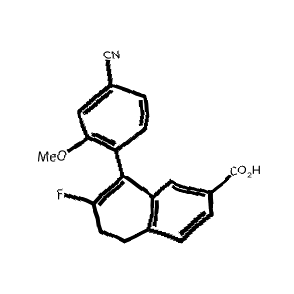 COc1cc(C#N)ccc1C1=C(F)CCc2ccc(C(=O)O)cc21